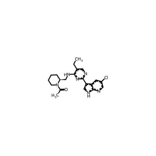 CCc1cnc(-c2c[nH]c3ncc(Cl)cc23)nc1NC[C@@H]1CCCCN1C(C)=O